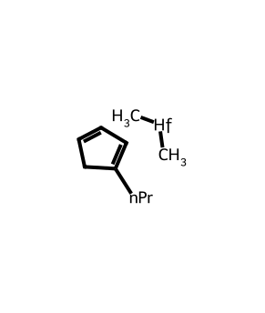 CCCC1=CC=CC1.[CH3][Hf][CH3]